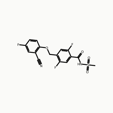 CS(=O)(=O)NC(=O)c1cc(F)c(COc2ccc(F)cc2C#N)cc1F